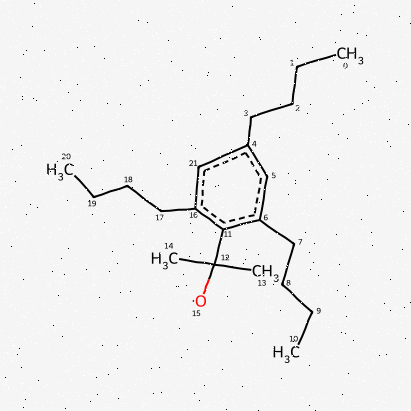 CCCCc1cc(CCCC)c(C(C)(C)[O])c(CCCC)c1